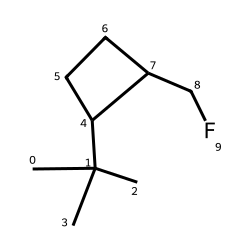 CC(C)(C)C1CCC1CF